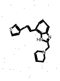 C1=CCN(Cc2nc3cccc(C=Cc4ccsc4)c3[nH]2)CC1